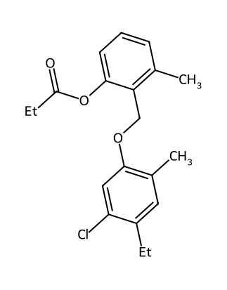 CCC(=O)Oc1cccc(C)c1COc1cc(Cl)c(CC)cc1C